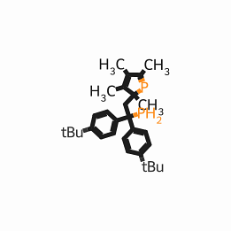 CC1=PC(C)(CC(P)(c2ccc(C(C)(C)C)cc2)c2ccc(C(C)(C)C)cc2)C(C)=C1C